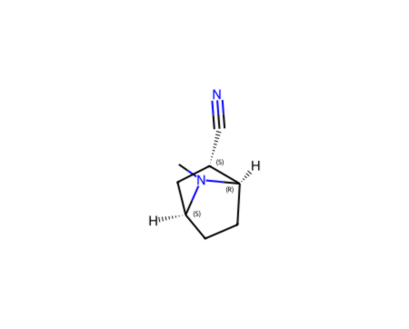 CN1[C@H]2CC[C@@H]1[C@@H](C#N)C2